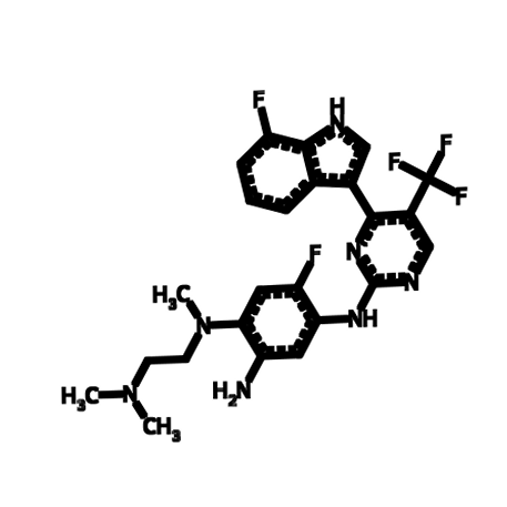 CN(C)CCN(C)c1cc(F)c(Nc2ncc(C(F)(F)F)c(-c3c[nH]c4c(F)cccc34)n2)cc1N